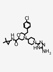 CC1(C)CC1NC(=O)C1CN(C2CCN(c3nnc(N)[nH]3)CC2)C(Cc2ccc(Cl)cc2)CO1